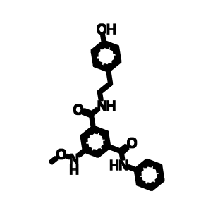 CONc1cc(C(=O)NCCc2ccc(O)cc2)cc(C(=O)Nc2ccccc2)c1